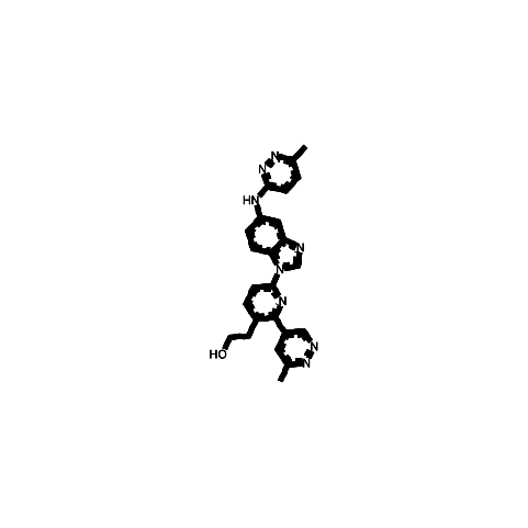 Cc1cc(-c2nc(-n3cnc4cc(Nc5ccc(C)nn5)ccc43)ccc2CCO)cnn1